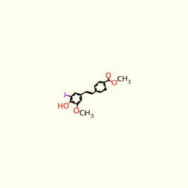 COC(=O)c1ccc(C=Cc2cc(I)c(O)c(OC)c2)cc1